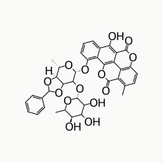 Cc1ccc2oc(=O)c3c(O)c4cccc(O[C@H]5O[C@@H](C)[C@@H]6OC(c7ccccc7)OC6C5O[C@H]5OC(C)[C@H](O)C(O)C5O)c4c4oc(=O)c1c2c34